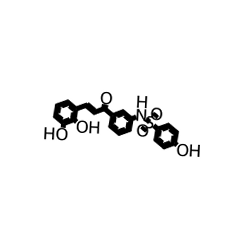 O=C(C=Cc1cccc(O)c1O)c1cccc(NS(=O)(=O)c2ccc(O)cc2)c1